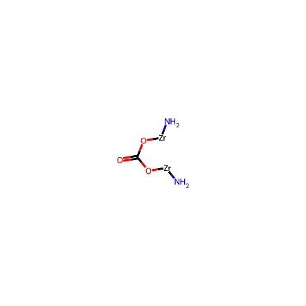 [NH2][Zr][O]C(=O)[O][Zr][NH2]